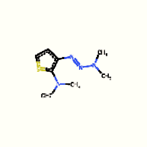 CN(C)N=Nc1ccsc1N(C)C=O